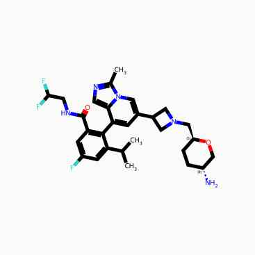 Cc1ncc2c(-c3c(C(=O)NCC(F)F)cc(F)cc3C(C)C)cc(C3CN(C[C@@H]4CC[C@@H](N)CO4)C3)cn12